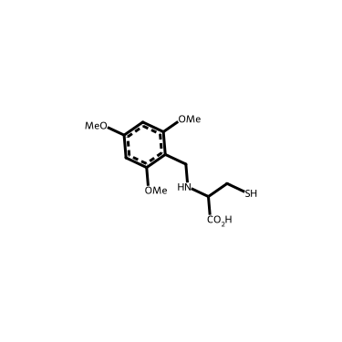 COc1cc(OC)c(CNC(CS)C(=O)O)c(OC)c1